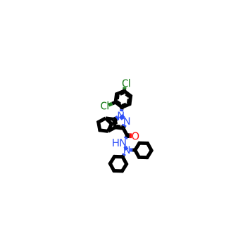 O=C(NN(C1CCCCC1)C1CCCCC1)c1nn(-c2ccc(Cl)cc2Cl)c2c1C1CCC2C1